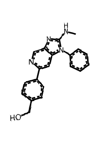 CNc1nc2cnc(-c3ccc(CO)cc3)cc2n1-c1ccccc1